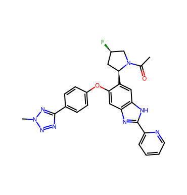 CC(=O)N1C[C@H](F)C[C@@H]1c1cc2[nH]c(-c3ccccn3)nc2cc1Oc1ccc(-c2nnn(C)n2)cc1